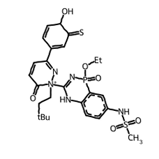 CCOP1(=O)N=C([N+]2(CCC(C)(C)C)N=C(C3=CC(=S)C(O)C=C3)C=CC2=O)Nc2ccc(NS(C)(=O)=O)cc21